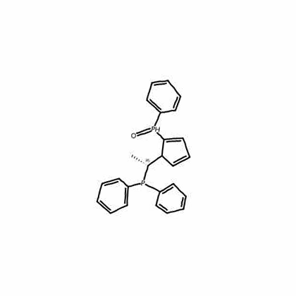 C[C@H](C1C=CC=C1[PH](=O)c1ccccc1)P(c1ccccc1)c1ccccc1